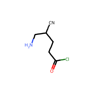 N#CC(CN)CCC(=O)Cl